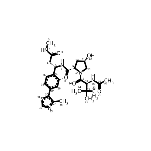 CNC(=O)C[C@H](NC(=O)[C@@H]1C[C@@H](O)CN1C(=O)[C@@H](NC(C)=O)C(C)(C)C)c1ccc(-c2scnc2C)cc1